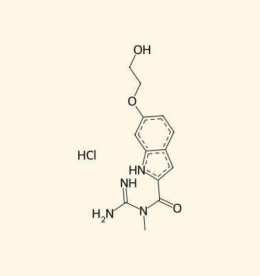 CN(C(=N)N)C(=O)c1cc2ccc(OCCO)cc2[nH]1.Cl